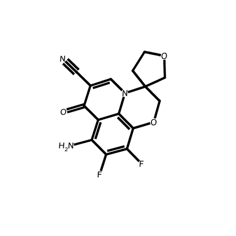 N#Cc1cn2c3c(c(F)c(F)c(N)c3c1=O)OCC21CCOC1